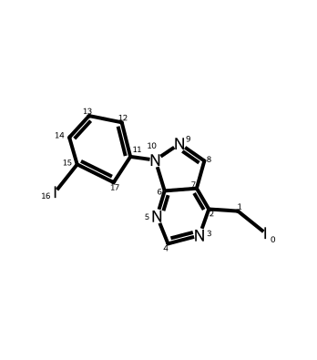 ICc1ncnc2c1cnn2-c1cccc(I)c1